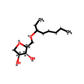 CCCCCC(CC)OC[C@@H]1OC[C@H](O)[C@H]1O